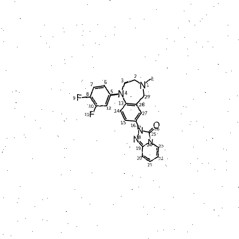 CN1CCN(c2ccc(F)c(F)c2)c2ccc(-n3nc4ccccn4c3=O)cc2C1